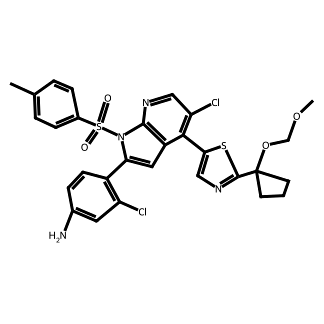 COCOC1(c2ncc(-c3c(Cl)cnc4c3cc(-c3ccc(N)cc3Cl)n4S(=O)(=O)c3ccc(C)cc3)s2)CCC1